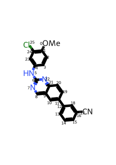 COc1ccc(Nc2ncc3cc(-c4cccc(C#N)c4)ccc3n2)cc1Cl